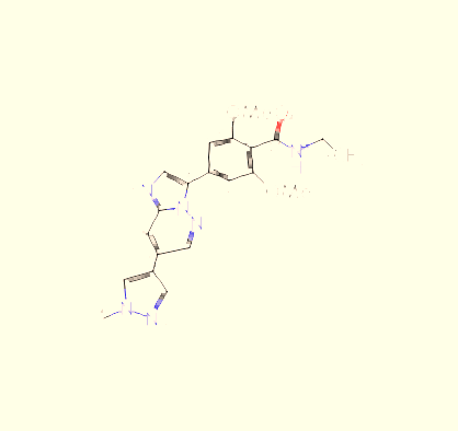 COc1cc(-c2cnc3cc(-c4cnn(C)c4)cnn23)cc(OC)c1C(=O)NCC(F)(F)F